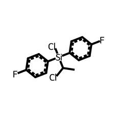 CC(Cl)[Si](Cl)(c1ccc(F)cc1)c1ccc(F)cc1